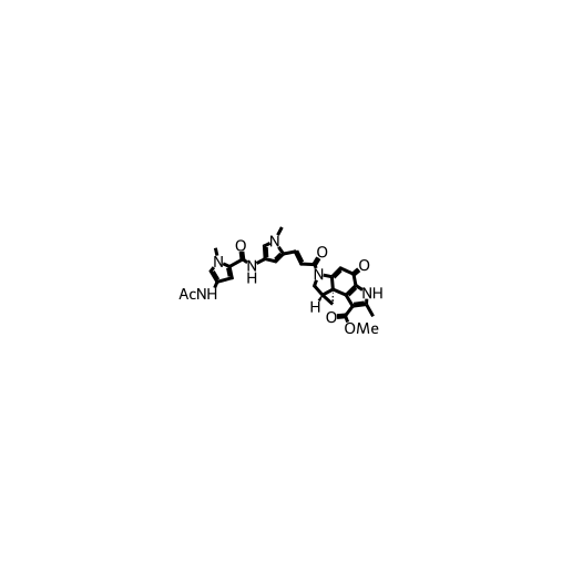 COC(=O)c1c(C)[nH]c2c1[C@@]13C[C@@H]1CN(C(=O)/C=C/c1cc(NC(=O)c4cc(NC(C)=O)cn4C)cn1C)C3=CC2=O